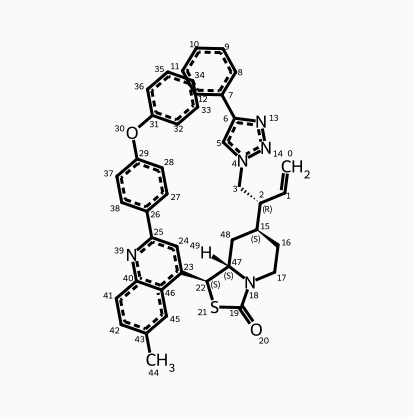 C=C[C@@H](Cn1cc(-c2ccccc2)nn1)[C@H]1CCN2C(=O)S[C@@H](c3cc(-c4ccc(Oc5ccccc5)cc4)nc4ccc(C)cc34)[C@@H]2C1